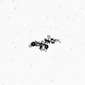 C=C(CN1CCN(C)CC1)C(=O)NC[C@@H](NC(=O)[C@H](Cc1nc2ccc(Cl)cc2s1)NC(=O)CC)C1CCCC1